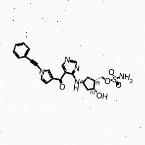 NS(=O)(=O)OC[C@H]1C[C@@H](Nc2ncncc2C(=O)c2ccn(C#Cc3ccccc3)c2)C[C@@H]1O